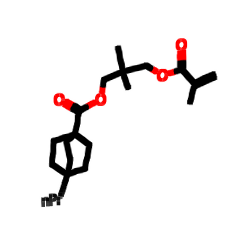 C=C(C)C(=O)OCC(C)(C)COC(=O)C12CCC(CCC)(CC1)CC2